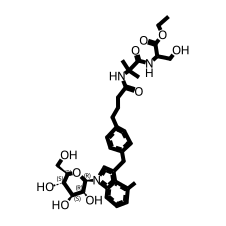 CCOC(=O)C(CO)NC(=O)C(C)(C)NC(=O)CCCc1ccc(Cc2cn([C@@H]3O[C@H](CO)[C@@H](O)[C@H](O)[C@H]3O)c3cccc(C)c23)cc1